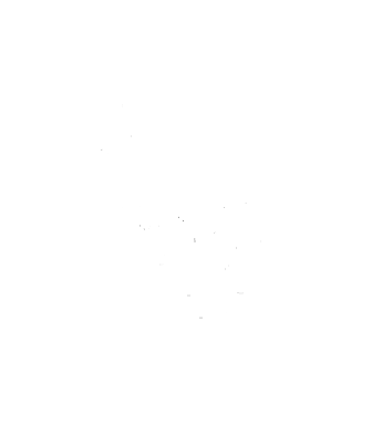 O=S(=O)(Nc1nc(-c2ccccc2)c(-c2ccccc2)o1)c1ccc(Cl)cc1